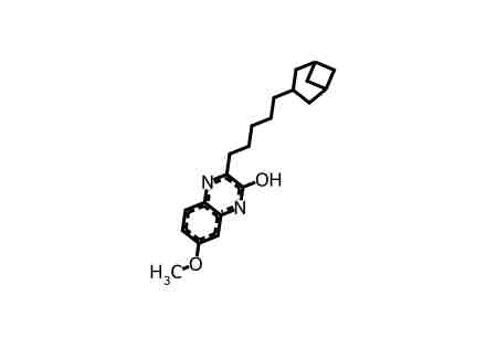 COc1ccc2nc(CCCCCC3CC4CC(C3)C4)c(O)nc2c1